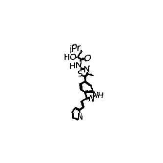 Cc1nc(NC(=O)C(O)CC(C)C)sc1-c1ccc2c(/C=C/c3ccccn3)n[nH]c2c1